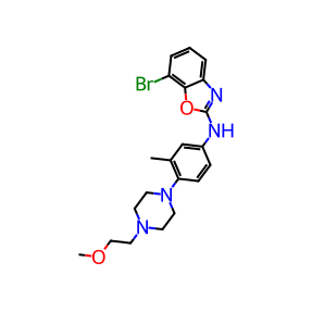 COCCN1CCN(c2ccc(Nc3nc4cccc(Br)c4o3)cc2C)CC1